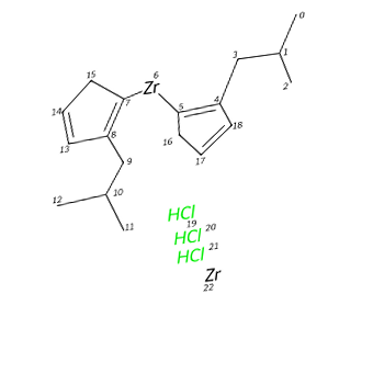 CC(C)CC1=[C]([Zr][C]2=C(CC(C)C)C=CC2)CC=C1.Cl.Cl.Cl.[Zr]